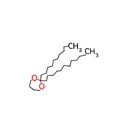 CCCCCCCCCCCCC1(CCCCCCCCCC)OCCCCO1